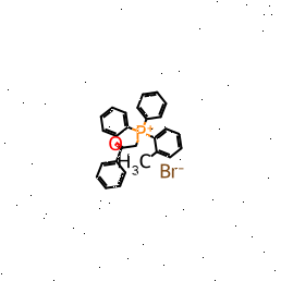 Cc1ccccc1[P+](CC(=O)c1ccccc1)(c1ccccc1)c1ccccc1.[Br-]